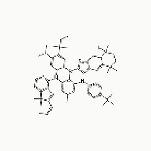 C/C=C\C1=Cc2c(N3c4cc(C)cc5c4B(c4sc6c(c4N5c4ccc(C(C)(C)C)cc4)C=C4C(C6)C(C)(I)CCC4(C)C)C4C=C(C(C)(C)CC)C(C(C)C)=CC43)cccc2C1(C)C